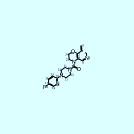 C=CC1=C(/C=N\C)N(C(=O)N2CCN(c3ccc(F)cn3)CC2)CCO1